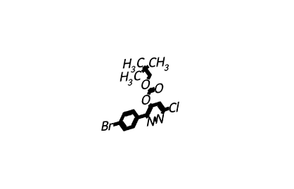 CC(C)(C)COC(=O)Oc1cc(Cl)nnc1-c1ccc(Br)cc1